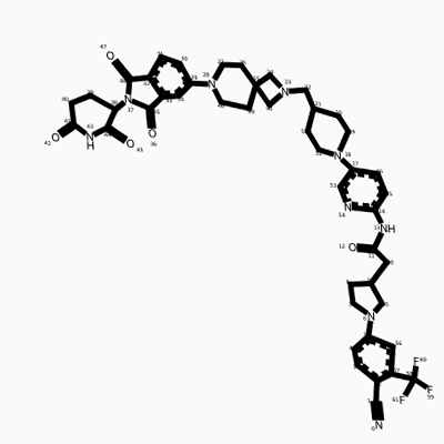 N#Cc1ccc(N2CCC(CC(=O)Nc3ccc(N4CCC(CN5CC6(CCN(c7ccc8c(c7)C(=O)N(C7CCC(=O)NC7=O)C8=O)CC6)C5)CC4)cn3)C2)cc1C(F)(F)F